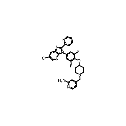 Nc1cc(CN2CCC(Oc3c(F)cc(-n4c(-c5ccccn5)nc5cc(Cl)cnc54)cc3F)CC2)ccn1